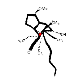 CO[C@@H]1CCC23CC[C@@H](C)[C@](C)(C12)[C@H](O)C[C@@](C)(CCCF)C(=O)[C@@H]3C